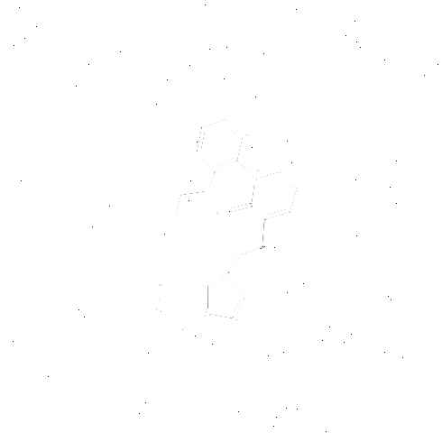 O=C(Nc1cnn(CC(F)F)c1)c1cccn(-c2ccc(F)cc2OCC(F)(F)F)c1=O